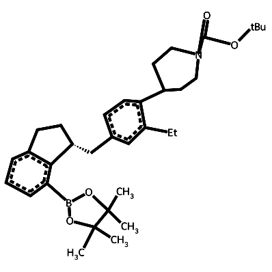 CCc1cc(C[C@H]2CCc3cccc(B4OC(C)(C)C(C)(C)O4)c32)ccc1C1CCN(C(=O)OC(C)(C)C)CC1